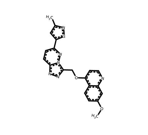 COc1ccc2c(OCc3nnc4ccc(-c5cc(C)ns5)nn34)ccnc2c1